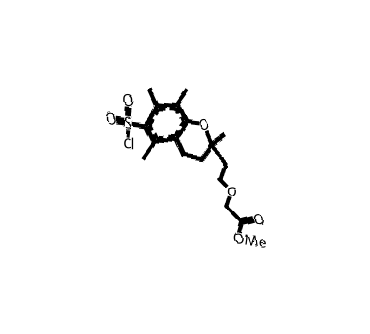 COC(=O)COCCC1(C)CCc2c(C)c(S(=O)(=O)Cl)c(C)c(C)c2O1